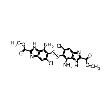 COC(=O)c1nc2cc(Cl)c(SSc3c(Cl)cc4nc(C(=O)OC)[nH]c4c3N)c(N)c2[nH]1